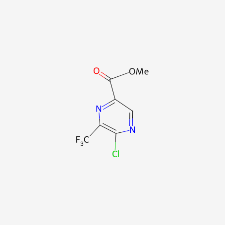 COC(=O)c1cnc(Cl)c(C(F)(F)F)n1